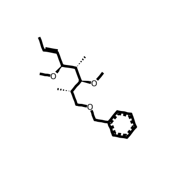 CC=C[C@H](OC)[C@H](C)[C@@H](OC)[C@@H](C)COCc1ccccc1